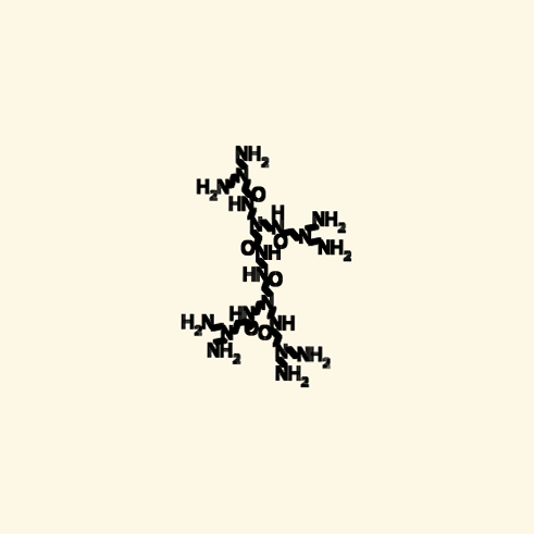 NCCN(CCN)CCC(=O)NCCN(CCNC(=O)CCN(CCN)CCN)CCC(=O)NCCNC(=O)CCN(CCNC(=O)CCN(CCN)CCN)CCNC(=O)CCN(CCN)CCN